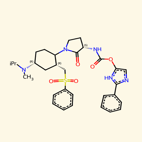 CC(C)N(C)[C@@H]1CCC(N2CC[C@H](NC(=O)Oc3cnc(-c4ccccc4)[nH]3)C2=O)[C@H](CS(=O)(=O)c2ccccc2)C1